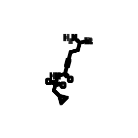 CCC(N)CCC#CC(=O)NS(=O)(=O)CC1CC1